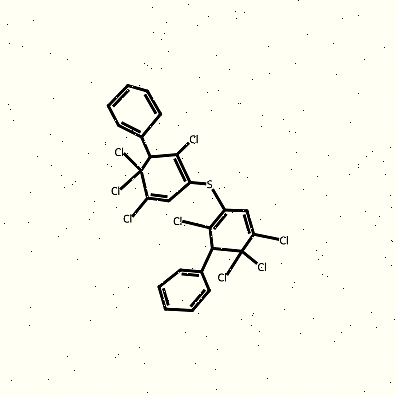 ClC1=CC(SC2=C(Cl)C(c3ccccc3)C(Cl)(Cl)C(Cl)=C2)=C(Cl)C(c2ccccc2)C1(Cl)Cl